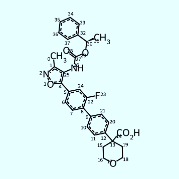 Cc1noc(-c2ccc(-c3ccc(C4(C(=O)O)CCOCC4)cc3)c(F)c2)c1NC(=O)O[C@H](C)c1ccccc1